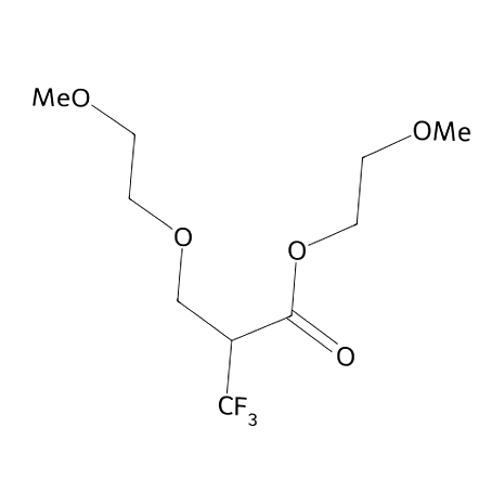 COCCOCC(C(=O)OCCOC)C(F)(F)F